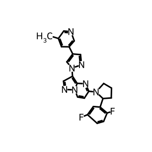 Cc1cncc(-c2cnn(-c3cnn4ccc(N5CCCC5c5cc(F)ccc5F)nc34)c2)c1